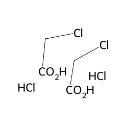 Cl.Cl.O=C(O)CCl.O=C(O)CCl